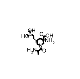 CC(N)C(=O)N1C[C@H](CCB(O)O)C[C@@](N)(C(=O)O)C1